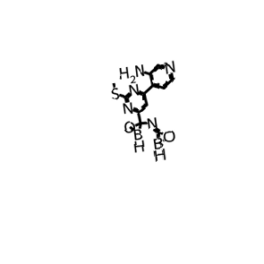 CSc1nc(-c2ccncc2N)cc(C2(/N=C3\BO3)BO2)n1